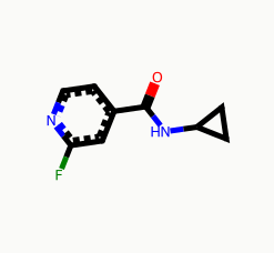 O=C(NC1CC1)c1ccnc(F)c1